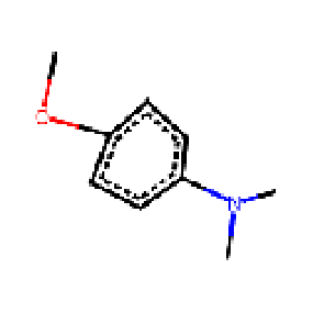 COc1[c]cc(N(C)C)cc1